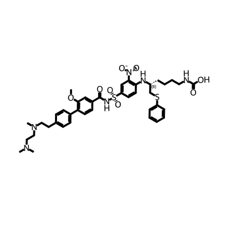 COc1cc(C(=O)NS(=O)(=O)c2ccc(N[C@H](CCCCNC(=O)O)CSc3ccccc3)c([N+](=O)[O-])c2)ccc1-c1ccc(CCN(C)CCN(C)C)cc1